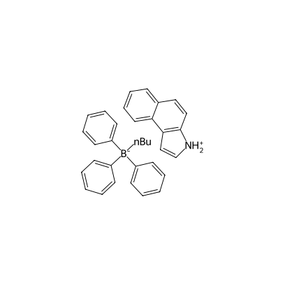 C1=Cc2c(ccc3ccccc23)[NH2+]1.CCCC[B-](c1ccccc1)(c1ccccc1)c1ccccc1